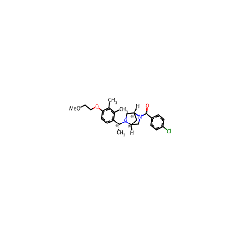 COCCOc1ccc([C@@H](C)N2C[C@H]3C[C@@H]2CN3C(=O)c2ccc(Cl)cc2)c(C)c1C